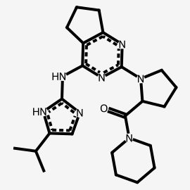 CC(C)c1cnc(Nc2nc(N3CCCC3C(=O)N3CCCCC3)nc3c2CCC3)[nH]1